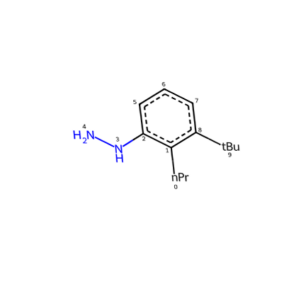 CCCc1c(NN)cccc1C(C)(C)C